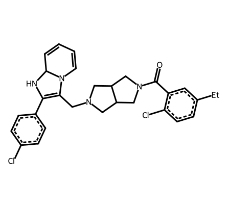 CCc1ccc(Cl)c(C(=O)N2CC3CN(CC4=C(c5ccc(Cl)cc5)NC5C=CC=CN45)CC3C2)c1